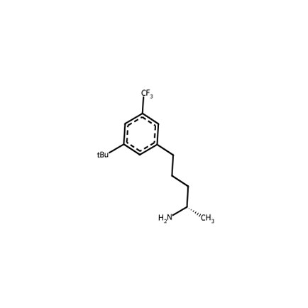 C[C@H](N)CCCc1cc(C(C)(C)C)cc(C(F)(F)F)c1